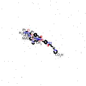 CC[C@H](C)[C@@H]([C@@H](CC(=O)N1CCC[C@H]1[C@H](OC)[C@@H](C)C(=O)N[C@@H](Cc1ccccc1)C(=O)NOCc1ccc(NC(=O)CCCCCN2CCC(C(=O)O)CC2)cc1)OC)N(C)C(=O)[C@@H](NC(=O)C(C(C)C)N(C)C)C(C)C